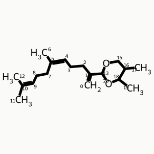 C=C(CCC=C(C)CCC=C(C)C)C1OCC(C)C(C)O1